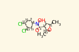 Cc1cc(C(=O)N(O)c2ccc(Cl)c(Cl)c2)c(C)o1